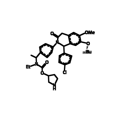 CC[C@@H](C)Oc1cc2c(cc1OC)CC(=O)N(c1ccc(C(C)N(CC)C(=O)OC3CCNC3)cc1)C2c1ccc(Cl)cc1